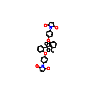 CC(C)(c1ccccc1Oc1ccc(N2C(=O)C=CC2=O)cc1)c1ccccc1Oc1ccc(N2C(=O)C=CC2=O)cc1